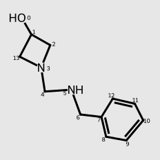 OC1CN(CNCc2ccccc2)C1